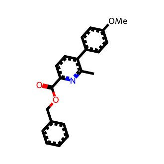 COc1ccc(-c2ccc(C(=O)OCc3ccccc3)nc2C)cc1